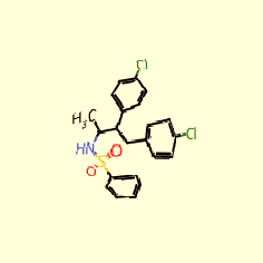 CC(NS(=O)(=O)c1ccccc1)C(Cc1ccc(Cl)cc1)c1ccc(Cl)cc1